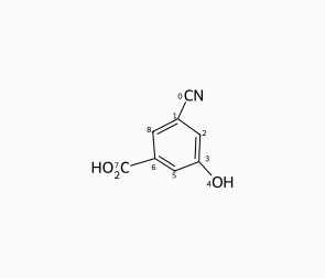 N#Cc1cc(O)cc(C(=O)O)c1